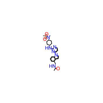 CC(=O)NCc1cccc2c1ccn2-c1ccnc(N[C@H]2CC[C@H](N(C)S(C)(=O)=O)CC2)n1